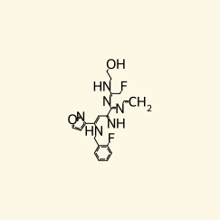 C=C/N=C(\N=C(/CF)NCCO)C(=N)/C=C(\NCc1ccccc1F)c1ccon1